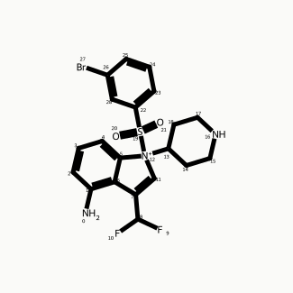 Nc1cccc2c1C(C(F)F)=C[N+]2(C1CCNCC1)S(=O)(=O)c1cccc(Br)c1